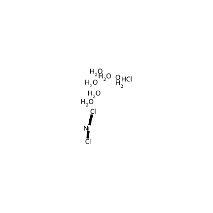 Cl.O.O.O.O.O.O.[Cl][Ni][Cl]